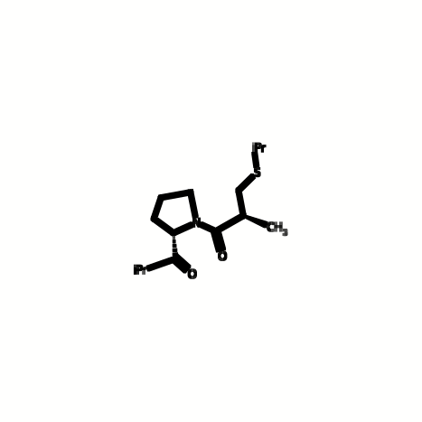 CC(C)SC[C@@H](C)C(=O)N1CCC[C@H]1C(=O)C(C)C